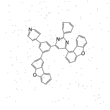 c1ccc(-c2nc(-c3cc(-c4ccncc4)cc(-c4ccc5oc6ccccc6c5c4)c3)cc(-c3cccc4oc5ccccc5c34)n2)cc1